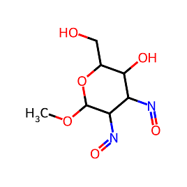 COC1OC(CO)C(O)C(N=O)C1N=O